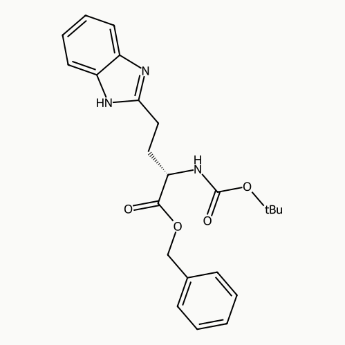 CC(C)(C)OC(=O)N[C@@H](CCc1nc2ccccc2[nH]1)C(=O)OCc1ccccc1